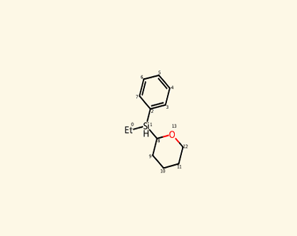 CC[SiH](c1ccccc1)C1CCCCO1